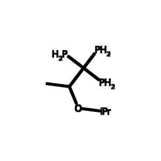 CC(C)OC(C)C(P)(P)P